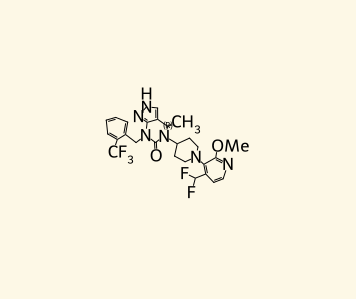 COc1nccc(C(F)F)c1N1CCC(N2C(=O)N(Cc3ccccc3C(F)(F)F)c3n[nH]cc3[C@H]2C)CC1